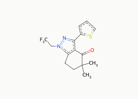 CC1(C)CCc2c(c(-c3cccs3)nn2CC(F)(F)F)C1=O